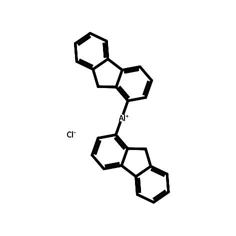 [Cl-].c1ccc2c(c1)Cc1[c]([Al+][c]3cccc4c3Cc3ccccc3-4)cccc1-2